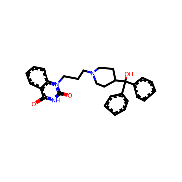 O=c1[nH]c(=O)n(CCCN2CCC(C(O)(c3ccccc3)c3ccccc3)CC2)c2ccccc12